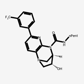 CCCCCNC(=O)N1c2nc(-c3cccc(C(F)(F)F)c3)ccc2N2C[C@@H](O)[C@H]1C2